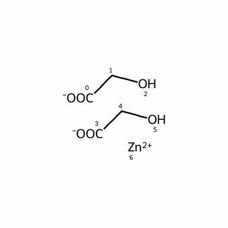 O=C([O-])CO.O=C([O-])CO.[Zn+2]